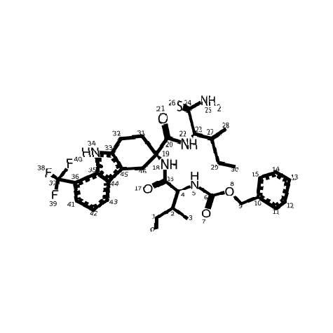 CCC(C)[C@H](NC(=O)OCc1ccccc1)C(=O)N[C@]1(C(=O)N[C@H](C(N)=S)C(C)CC)CCc2[nH]c3c(C(F)(F)F)cccc3c2C1